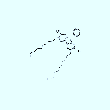 CCCCCCCCCCc1cc2c3cc(CCCCCCCCCC)c(C)cc3p(-c3ccccc3)c2cc1C